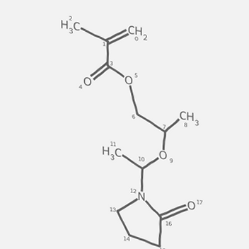 C=C(C)C(=O)OCC(C)OC(C)N1CCCC1=O